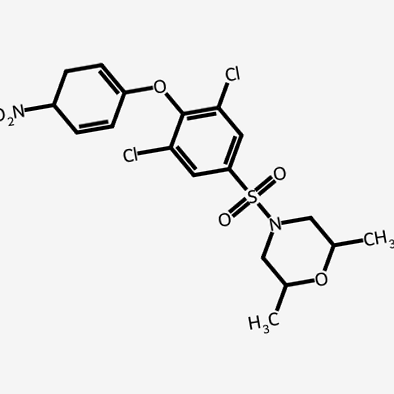 CC1CN(S(=O)(=O)c2cc(Cl)c(OC3=CCC([N+](=O)[O-])C=C3)c(Cl)c2)CC(C)O1